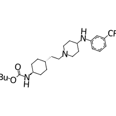 CC(C)(C)OC(=O)N[C@H]1CC[C@H](CCN2CCC(Nc3cccc(C(F)(F)F)c3)CC2)CC1